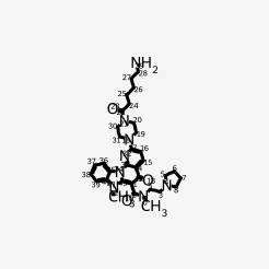 CN(CCN1CCCC1)C(=O)c1c(=O)c2ccc(N3CCN(C(=O)CCCCCN)CC3)nc2n2c3ccccc3n(C)c12